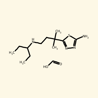 CCC(CC)NCCC(C)(C)c1nnc(N)s1.O=CO